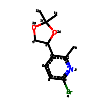 Cc1nc(Br)ccc1C1COC(C)(C)O1